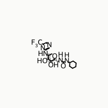 O=C(NC[C@H]1OC[C@H](Nc2cncc(C(F)(F)F)n2)[C@@H](O)[C@H]1O)NC1CCCCC1